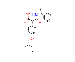 CCCC(C)COc1ccc(C(C(=O)N[C@@H](C)c2ccccc2)C(=O)OC)cc1